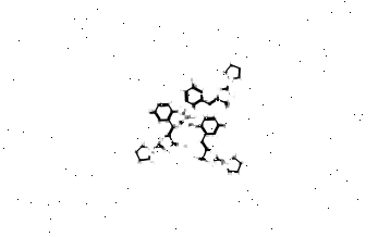 O=C1N=C(N2CCCC2)S/C1=C\c1cc(F)ccc1OP(=O)(Oc1ccc(F)cc1/C=C1\SC(N2CCCC2)=NC1=O)Oc1ccc(F)cc1/C=C1\SC(N2CCCC2)=NC1=O